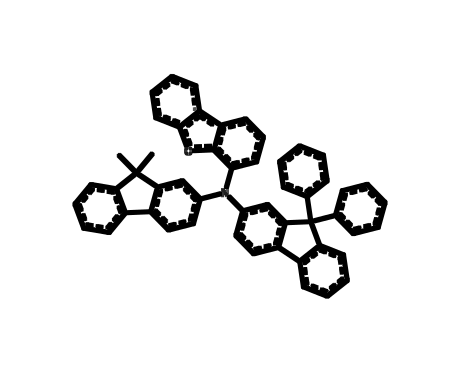 CC1(C)c2ccccc2-c2ccc(N(c3ccc4c(c3)C(c3ccccc3)(c3ccccc3)c3ccccc3-4)c3cccc4c3oc3ccccc34)cc21